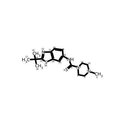 CN1CCN(C(=S)Nc2ccc3nc(C(C)(C)C)sc3c2)CC1